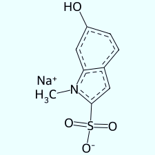 Cn1c(S(=O)(=O)[O-])cc2ccc(O)cc21.[Na+]